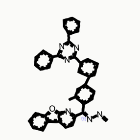 C=N/N=C(/c1ccc2c(n1)oc1ccccc12)c1ccc(-c2cccc(-c3nc(-c4ccccc4)nc(-c4ccccc4)n3)c2)cc1C